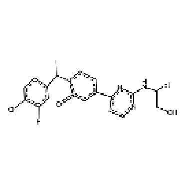 CCC(CO)Nc1nccc(-c2ccn(C(C)c3ccc(Cl)c(F)c3)c(=O)c2)n1